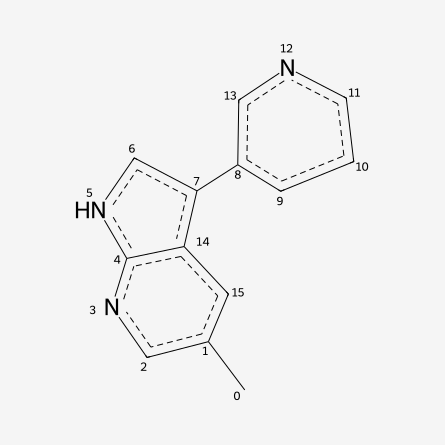 Cc1cnc2[nH]cc(-c3cccnc3)c2c1